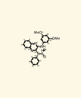 COc1cc(Nc2nc3ccccc3nc2N(c2cc[c]cc2)[SH](=O)=O)cc(OC)c1